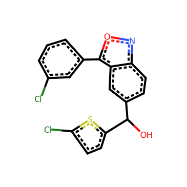 OC(c1ccc2noc(-c3cccc(Cl)c3)c2c1)c1ccc(Cl)s1